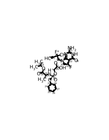 C#CC(C)(F)[C@@H](O[C@@H](O)COP(=O)(N[C@@H](C)C(=O)OC(C)C)Oc1ccccc1)n1cc(F)c2c(=O)[nH]c(N)nc21